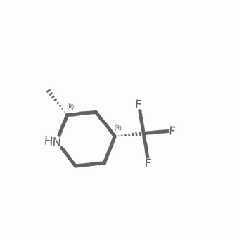 C[C@@H]1C[C@H](C(F)(F)F)CCN1